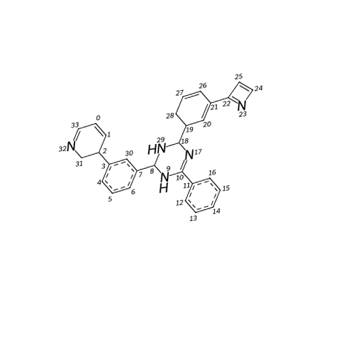 C1=CC(c2cccc(C3NC(c4ccccc4)=NC(C4C=C(C5=NC=C5)C=CC4)N3)c2)CN=C1